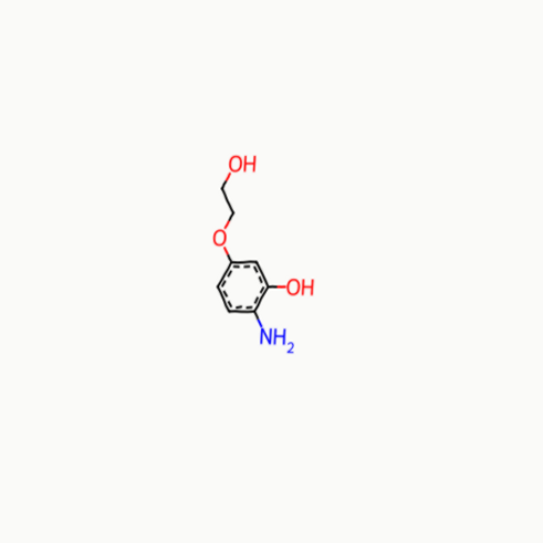 Nc1ccc(OCCO)cc1O